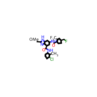 COCc1nc2c(C(=O)Nc3cccc(Cl)c3C)cc(NC(=O)c3ccc(CF)cc3C(F)(F)F)cc2[nH]1